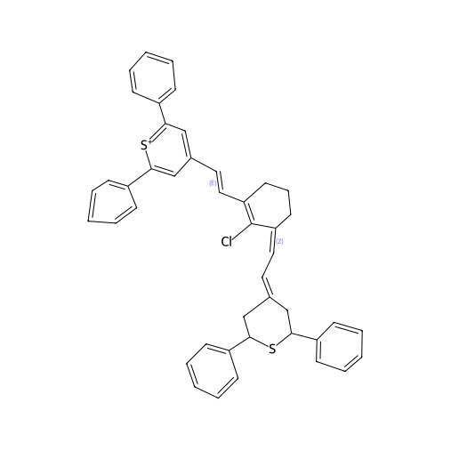 ClC1=C(/C=C/c2cc(-c3ccccc3)[s+]c(-c3ccccc3)c2)CCC/C1=C/C=C1CC(c2ccccc2)SC(c2ccccc2)C1